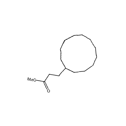 COC(=O)CCC1CCCCCCCCCCC1